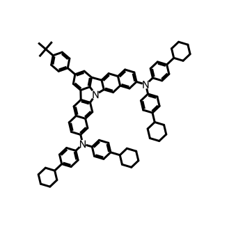 CC(C)(C)c1ccc(-c2cc3c4cc5ccc(N(c6ccc(C7CCCCC7)cc6)c6ccc(C7CCCCC7)cc6)cc5cc4n4c5cc6cc(N(c7ccc(C8CCCCC8)cc7)c7ccc(C8CCCCC8)cc7)ccc6cc5c(c2)c34)cc1